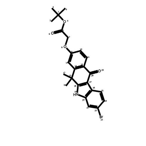 CC(C)(C)OC(=O)COc1ccc2c(c1)C(C)(C)c1[nH]c3cc(Br)ccc3c1C2=O